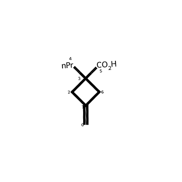 C=C1CC(CCC)(C(=O)O)C1